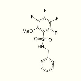 COc1c(F)c(F)c(F)c(F)c1S(=O)(=O)NCc1ccccc1